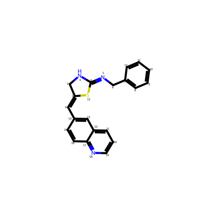 C(=C1CNC(=NCc2ccccc2)S1)c1ccc2ncccc2c1